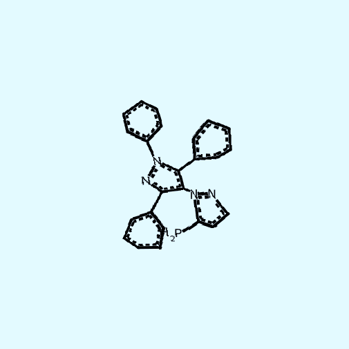 Pc1ccnn1-c1c(-c2ccccc2)nn(-c2ccccc2)c1-c1ccccc1